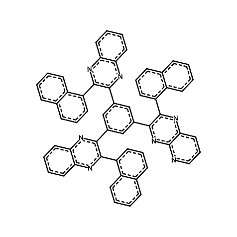 c1ccc2c(-c3nc4ccccc4nc3-c3cc(-c4nc5ccccc5nc4-c4cccc5ccccc45)cc(-c4nc5ncccc5nc4-c4cccc5ccccc45)c3)cccc2c1